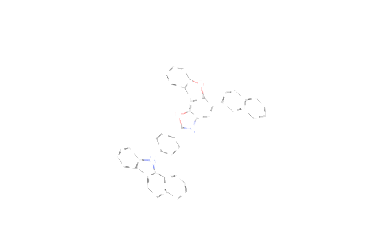 c1ccc2cc(-c3cc4nc(-c5ccc(-n6c7ccccc7c7ccc8ccccc8c76)cc5)oc4c4c3oc3ccccc34)ccc2c1